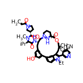 C=CC(=O)N1CC[C@H](C(=O)N(C)C(C(=O)N[C@H]2Cc3cc(O)cc(c3)-c3ccc4c(c3)c(c(-c3cncc(C#N)c3)n4CC)CC(C)(C)COC(=O)[C@@H]3CCCN(N3)C2=O)C(C)C)C1